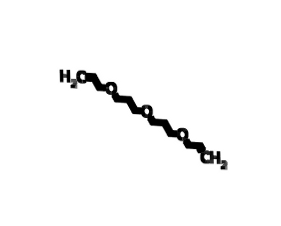 C=CCOCCCOCCCOCC=C